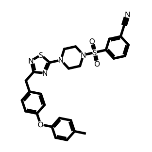 Cc1ccc(Oc2ccc(Cc3nsc(N4CCN(S(=O)(=O)c5cccc(C#N)c5)CC4)n3)cc2)cc1